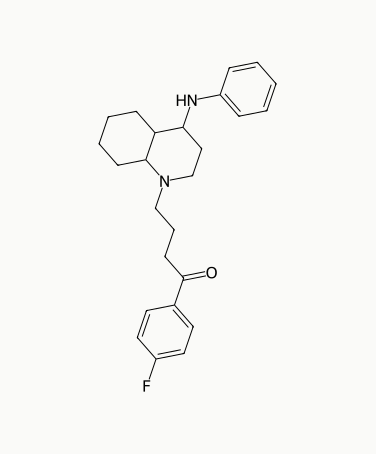 O=C(CCCN1CCC(Nc2ccccc2)C2CCCCC21)c1ccc(F)cc1